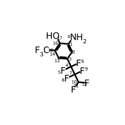 Nc1cc(C(F)(F)C(F)(F)C(F)F)cc(C(F)(F)F)c1O